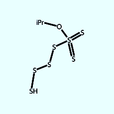 CC(C)OS(=S)(=S)SSSS